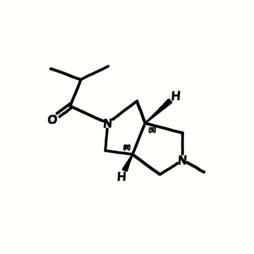 CC(C)C(=O)N1C[C@H]2CN(C)C[C@H]2C1